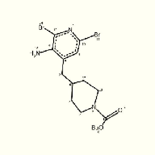 CC(C)COC(=O)N1CCC(Cc2cc(Br)nc(Br)c2N)CC1